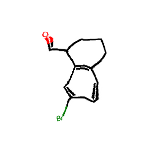 O=CC1CCCc2ccc(Br)cc21